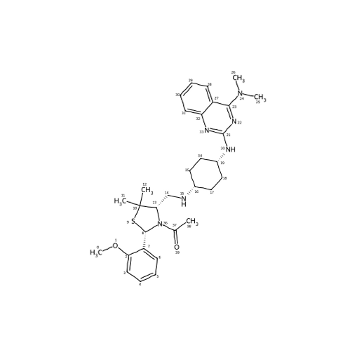 COc1ccccc1[C@@H]1SC(C)(C)[C@H](CN[C@H]2CC[C@@H](Nc3nc(N(C)C)c4ccccc4n3)CC2)N1C(C)=O